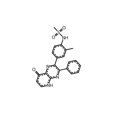 Cc1cc(-c2nc3c(=O)cc[nH]c3nc2-c2ccccc2)ccc1NS(C)(=O)=O